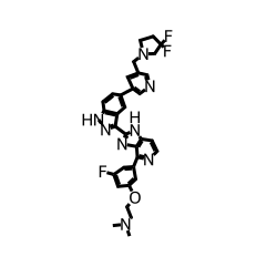 CN(C)CCOc1cc(F)cc(-c2nccc3[nH]c(-c4n[nH]c5ccc(-c6cncc(CN7CCC(F)(F)C7)c6)cc45)nc23)c1